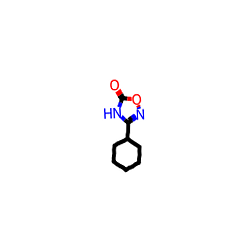 O=c1[nH]c(C2CCCCC2)no1